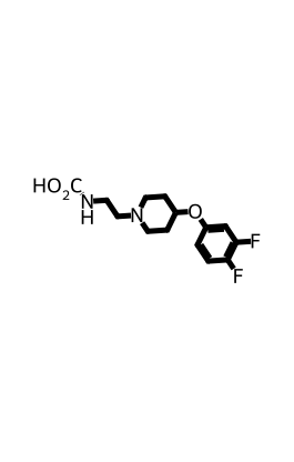 O=C(O)NCCN1CCC(Oc2ccc(F)c(F)c2)CC1